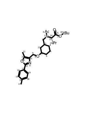 CC(=O)N(CC1CCCC(OCc2nc(-c3ccc(C)cc3)oc2C)C1)[C@H](C(=O)OC(C)(C)C)C(C)C